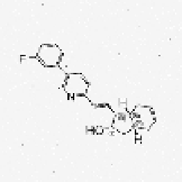 O[C@H]1C[C@H]2CC=CC[C@H]2[C@@H]1C=Cc1ccc(-c2cccc(F)c2)cn1